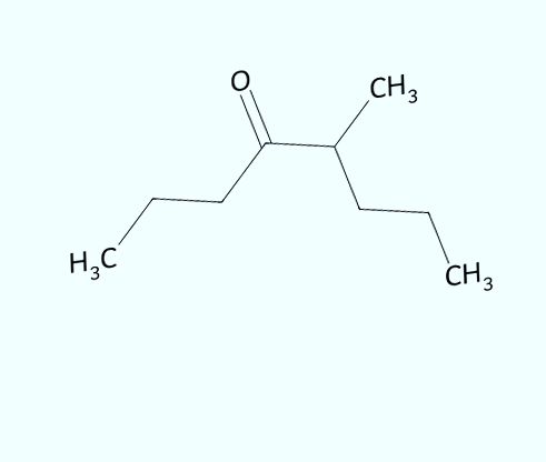 CCCC(=O)C(C)CCC